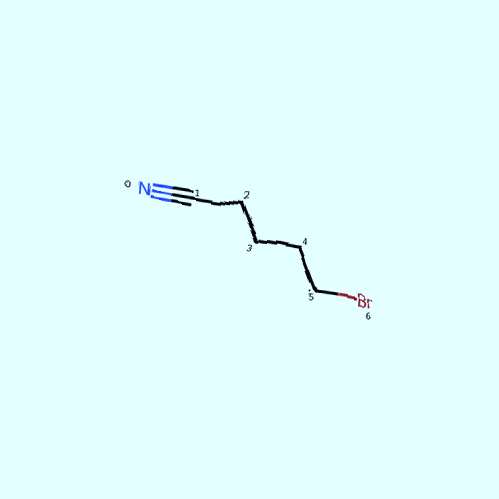 N#CCCC[CH]Br